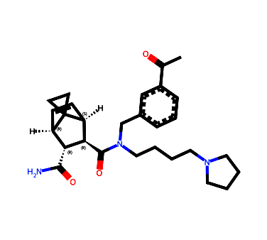 CC(=O)c1cccc(CN(CCCCN2CCCC2)C(=O)[C@H]2[C@H](C(N)=O)[C@H]3C=C[C@@H]2C32CC2)c1